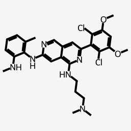 CNc1cccc(C)c1Nc1cc2c(NCCCN(C)C)nc(-c3c(Cl)c(OC)cc(OC)c3Cl)cc2cn1